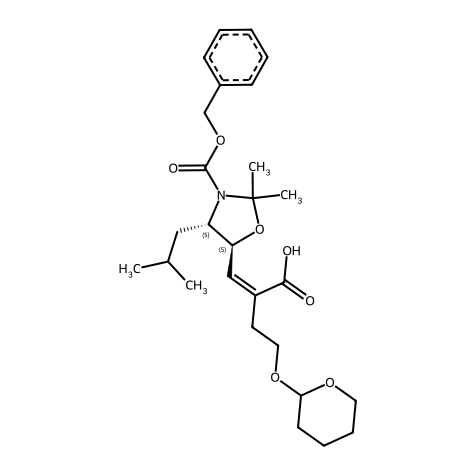 CC(C)C[C@H]1[C@H](C=C(CCOC2CCCCO2)C(=O)O)OC(C)(C)N1C(=O)OCc1ccccc1